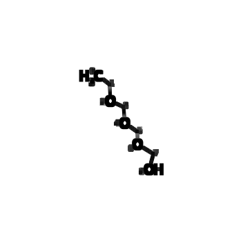 CCOCOCOCO